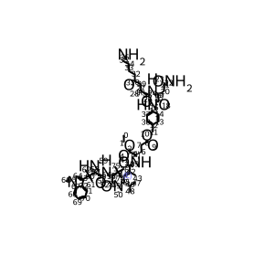 CCOC(=O)[C@@H](CCC(=O)OCc1ccc(NC(=O)[C@H](CC(N)=O)NC(=O)[C@H](C)CC(=O)CCCCN)cc1)NC(=O)/C(C)=C/[C@H](C(C)C)N(C)C(=O)[C@@H](NC(=O)[C@@H](NC)C(C)(C)c1cn(C)c2ccccc12)C(C)(C)C